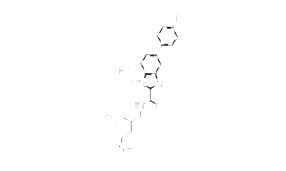 Cl.NCCC(N)CNC(=O)c1nc2cc(-c3ccc(F)cc3)ccc2[nH]1